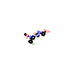 CC(C)(C)OC(=O)NC[C@]1(c2cccc(Cl)c2)CC[C@@H](N2CCn3c(nnc3-c3cccc(C(=O)O)c3)C2=O)CC1